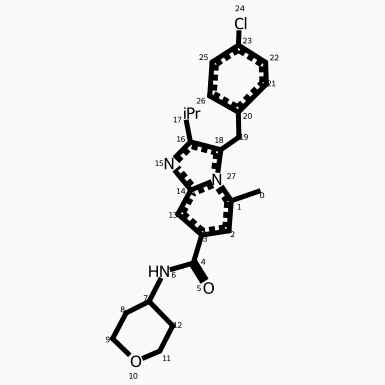 Cc1cc(C(=O)NC2CCOCC2)cc2nc(C(C)C)c(Cc3ccc(Cl)cc3)n12